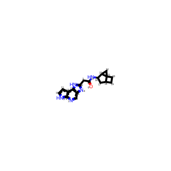 O=C(Cc1nc2cnc3[nH]ccc3c2[nH]1)NC1CC2CCC23CC13